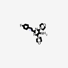 Nc1c(N2CCOCC2)nc(/C=C/c2ccc(F)cc2)nc1N1CCOCC1